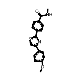 CNC(=O)c1ccc(-c2nc(-c3ccc(OC)cc3)cs2)cc1